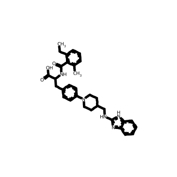 CCc1cccc(C)c1C(=O)NC(Cc1ccc(N2CCC(CNc3nc4ccccc4[nH]3)CC2)cc1)C(=O)O